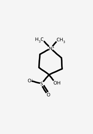 C[N+]1(C)CCC(O)(S(=O)[O-])CC1